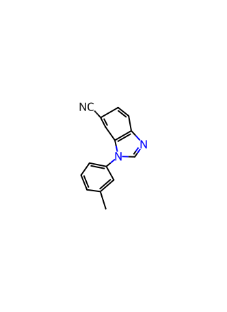 Cc1cccc(-n2cnc3ccc(C#N)cc32)c1